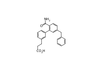 NC(=O)c1ccc(Cc2ccccc2)cc1-c1cccc(CCC(=O)O)c1